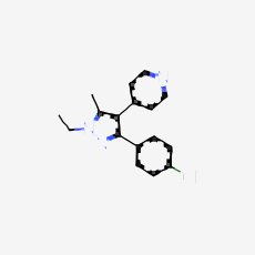 CCn1nc(-c2ccc(Cl)cc2)c(-c2ccncc2)c1C